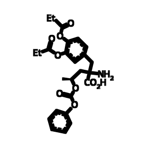 CCC(=O)Oc1ccc(CC(N)(C[C@H](C)OC(=O)Oc2ccccc2)C(=O)O)cc1OC(=O)CC